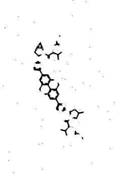 COC(=O)N[C@H](C(=O)N1[C@H](C)C(C)C[C@H]1c1ncc(-c2cc3c4c(c2)OCc2cc(-c5cnc([C@@H]6C[C@H]7C[C@H]7N6C(=O)[C@@H](NC(=O)OC)C(C)C)[nH]5)cc(c2-4)OC3)[nH]1)C(C)C